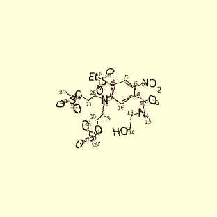 CCS(=O)(=O)c1cc([N+](=O)[O-])c(C(=O)N(C)CCO)cc1N(CCOS(C)(=O)=O)CCOS(C)(=O)=O